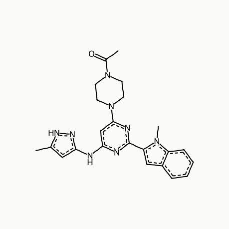 CC(=O)N1CCN(c2cc(Nc3cc(C)[nH]n3)nc(-c3cc4ccccc4n3C)n2)CC1